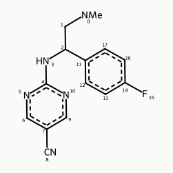 CNCC(Nc1ncc(C#N)cn1)c1ccc(F)cc1